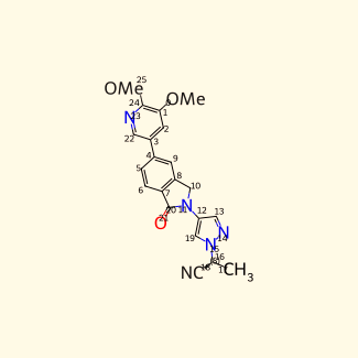 COc1cc(-c2ccc3c(c2)CN(c2cnn([C@@H](C)C#N)c2)C3=O)cnc1OC